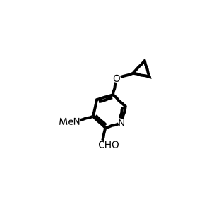 CNc1cc(OC2CC2)cnc1C=O